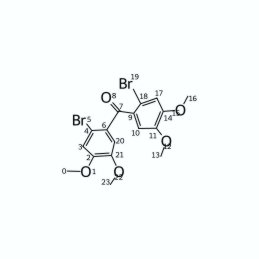 COc1cc(Br)c(C(=O)c2cc(OC)c(OC)cc2Br)cc1OC